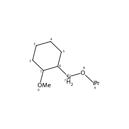 COC1CCCCC1[SiH2]OC(C)C